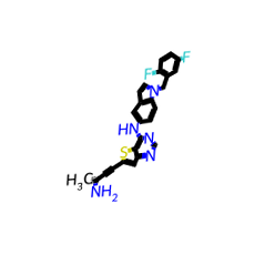 C[C@@H](N)C#Cc1cc2ncnc(Nc3ccc4c(ccn4Cc4cc(F)ccc4F)c3)c2s1